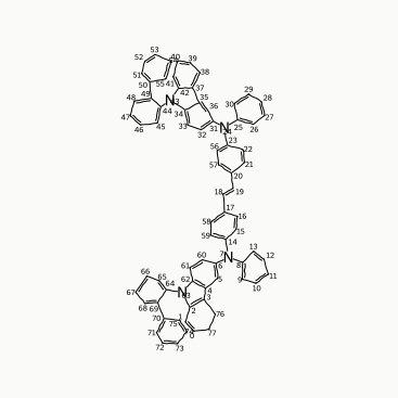 C1=Cc2c(c3cc(N(c4ccccc4)c4ccc(/C=C/c5ccc(N(c6ccccc6)c6ccc7c(c6)c6ccccc6n7-c6ccccc6-c6ccccc6)cc5)cc4)ccc3n2-c2ccccc2-c2ccccc2)CC1